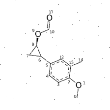 COc1ccc(C2C[C@H]2OC=O)cc1C